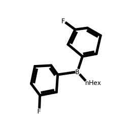 CCCCCCB(c1cccc(F)c1)c1cccc(F)c1